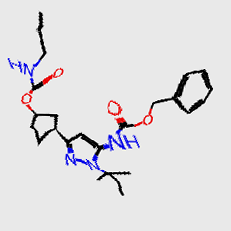 CCCNC(=O)O[C@@H]1CC[C@H](c2cc(NC(=O)OCc3ccccc3)n(C(C)(C)C)n2)C1